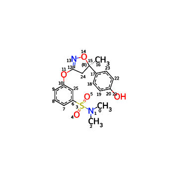 CN(C)S(=O)(=O)c1cccc(OC2=NO[C@@](C)(c3ccc(O)cc3)C2)c1